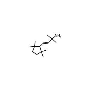 CC(C)(N)C=CC1C(C)(C)CCC1(C)C